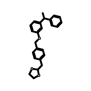 CC(c1ccccc1)c1cccc(OCc2ccc(CC3OCCO3)cc2)c1